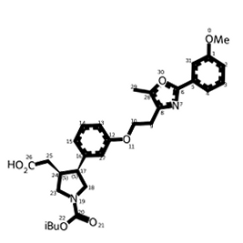 COc1cccc(-c2nc(CCOc3cccc([C@H]4CN(C(=O)OCC(C)C)C[C@H]4CC(=O)O)c3)c(C)o2)c1